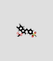 CC(=O)OC1=C(C)C(=Cc2ccc(S(C)(=O)=O)cc2)c2cc(C)c(C)cc21